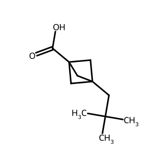 CC(C)(C)CC12CC(C(=O)O)(C1)C2